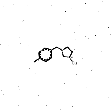 Cc1ccc(CN2CC[C@@H](O)C2)cc1